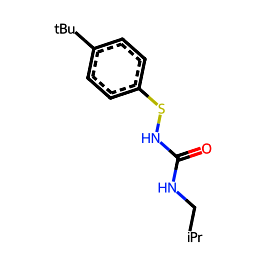 CC(C)CNC(=O)NSc1ccc(C(C)(C)C)cc1